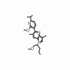 CCCC(COC)n1cc(C)c2nc(-c3ccc(C(C)C)nc3OC)c(C)cc21